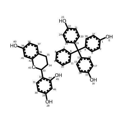 Oc1ccc(C(c2ccccc2)(c2ccc(O)cc2)c2ccc(O)cc2)cc1.Oc1ccc(C2CCc3ccc(O)cc3O2)c(O)c1